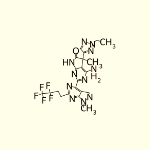 CCn1ncc(C2(C)C(=O)Nc3nc(-c4nc(CCC(F)(F)C(F)(F)F)nc5c4cnn5C)nc(N)c32)n1